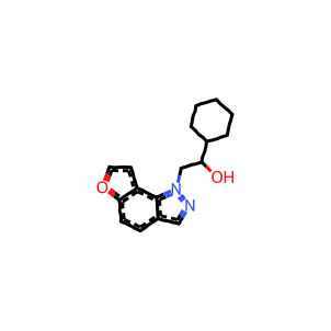 OC(Cn1ncc2ccc3occc3c21)C1CCCCC1